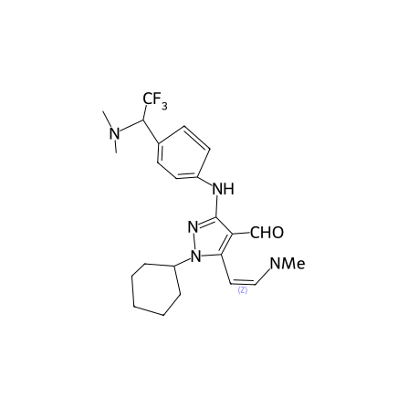 CN/C=C\c1c(C=O)c(Nc2ccc(C(N(C)C)C(F)(F)F)cc2)nn1C1CCCCC1